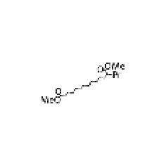 COC(=O)CCCCCCCCCCCC(C(=O)OC)C(C)C